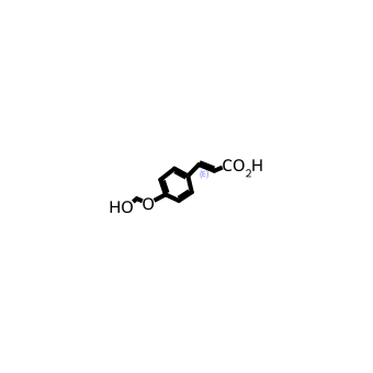 O=C(O)/C=C/c1ccc(OCO)cc1